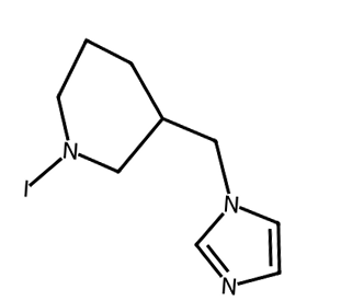 IN1CCCC(Cn2ccnc2)C1